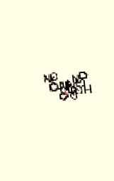 CN(C)C(=O)c1cccc(C(c2ccccc2)N(C)c2nc(-c3nc4ccccc4o3)c(O)c(=O)n2C)c1